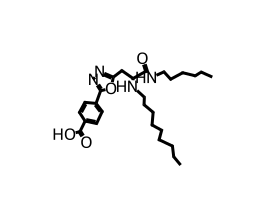 CCCCCCCCCNC(Cc1nnc(-c2ccc(C(=O)O)cc2)o1)C(=O)NCCCCCC